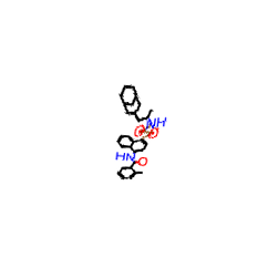 Cc1ccccc1C(=O)Nc1ccc(S(=O)(=O)NC(C)CC2CC3CCCC(C3)C2)c2ccccc12